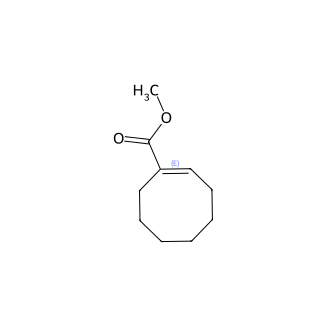 COC(=O)/C1=C/CCCCCC1